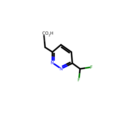 O=C(O)Cc1ccc(C(F)F)nn1